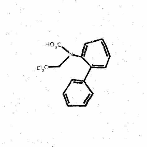 O=C(O)N(CC(Cl)(Cl)Cl)c1ccccc1-c1ccccc1